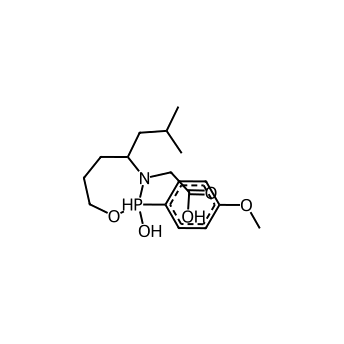 COc1ccc([PH]2(O)OCCCC(CC(C)C)N2CC(=O)O)cc1